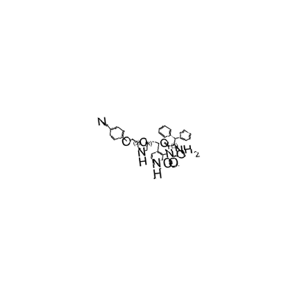 COC(=O)N(C(=O)[C@@H](N)C(c1ccccc1)c1ccccc1)c1c(CC[C@@H]2CNC[C@@H](COc3ccc(C#N)cc3)O2)cc[nH]c1=O